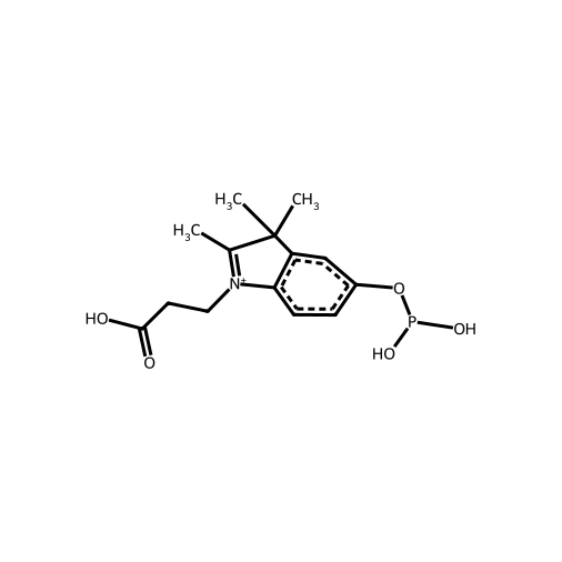 CC1=[N+](CCC(=O)O)c2ccc(OP(O)O)cc2C1(C)C